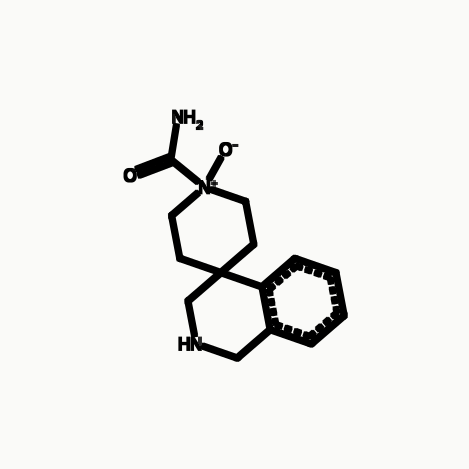 NC(=O)[N+]1([O-])CCC2(CC1)CNCc1ccccc12